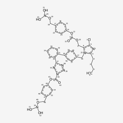 CCCCc1nc(Cl)c(COC(=O)Oc2ccc(CON(O)O)cc2)n1Cc1ccc(-c2ccccc2-c2nnn(C(=O)Oc3ccc(CON(O)O)cc3)n2)cc1